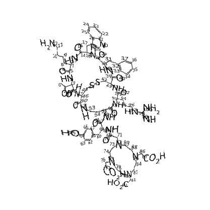 CC(O)C1NC(=O)C(CCCCN)NC(=O)C(CC2=CN=C3C=CC=CC23)NC(=O)C(Cc2ccccc2)NC(=O)C2CSSCC(NC1=O)C(=O)NCCC(NC(=O)C(Cc1ccc(O)cc1)NC(=O)CN1CCN(CC(=O)O)CCN(CC(=O)O)CCN(CC(=O)O)CC1)C(=O)NC(CCCNC(=N)N)C(=O)N2